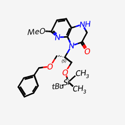 COc1ccc2c(n1)N([C@@H](COCc1ccccc1)CO[Si](C)(C)C(C)(C)C)C(=O)CN2